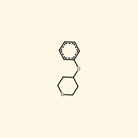 [c]1cccc(OC2CCOCC2)c1